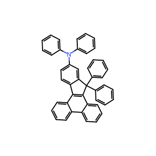 c1ccc(N(c2ccccc2)c2ccc3c(c2)C(c2ccccc2)(c2ccccc2)c2c-3c3ccccc3c3ccccc23)cc1